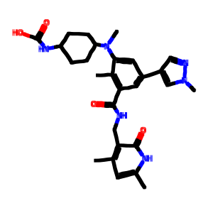 Cc1cc(C)c(CNC(=O)c2cc(-c3cnn(C)c3)cc(N(C)C3CCC(NC(=O)O)CC3)c2C)c(=O)[nH]1